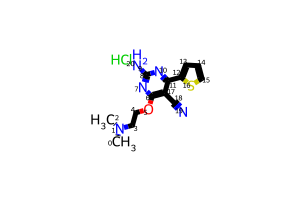 CN(C)CCOc1nc(N)nc(-c2cccs2)c1C#N.Cl